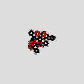 Cc1cc2c(c(N(c3c4c(c(-c5c6c(cc(-c7ccccc7)c5-c5ccccc5)-c5ccccc5C6)c(-c5ccccc5)c3-c3ccccc3)-c3c(ccc(-c5ccccc5-c5ccccc5)c3-c3cccc5sc6ccccc6c35)C4)c3cccc4sc5ccccc5c34)c1C)Cc1ccccc1-2